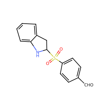 O=Cc1ccc(S(=O)(=O)C2Cc3ccccc3N2)cc1